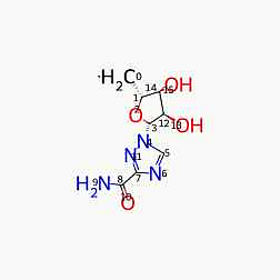 [CH2][C@H]1O[C@@H](n2cnc(C(N)=O)n2)[C@H](O)[C@@H]1O